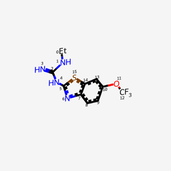 CCNC(=N)Nc1nc2ccc(OC(F)(F)F)cc2s1